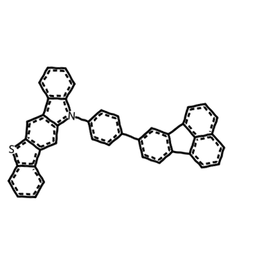 c1cc2c3c(cccc3c1)-c1cc(-c3ccc(-n4c5ccccc5c5cc6sc7ccccc7c6cc54)cc3)ccc1-2